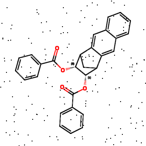 O=C(O[C@@H]1C2CC(c3cc4ccccc4cc32)[C@@H]1OC(=O)c1ccccc1)c1ccccc1